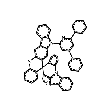 c1ccc(-c2cc(-c3ccccc3)nc(-n3c4ccccc4c4cc5c(cc43)C3(c4ccccc4S5)c4ccccc4-n4c5ccccc5c5cccc3c54)c2)cc1